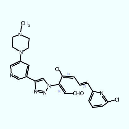 CN1CCN(c2cncc(-c3cn(C(=C/C=O)/C(Cl)=C\C=C\c4cccc(Cl)n4)nn3)c2)CC1